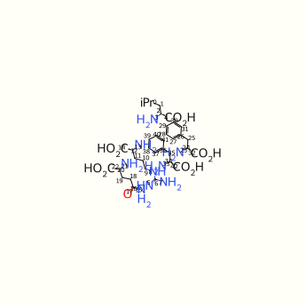 CC(C)C[C@H](N)C(=O)O.N=C(N)NCCC[C@H](N)C(=O)O.NC(=O)CC[C@H](N)C(=O)O.N[C@@H](Cc1ccccc1)C(=O)O.N[C@@H](Cc1ccccc1)C(=O)O